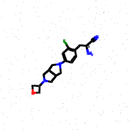 N#C[C@@H](N)Cc1ccc(N2CC3CN(C4COC4)CC3C2)cc1F